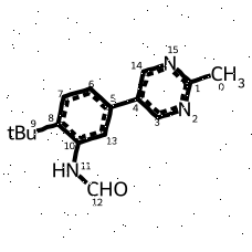 Cc1ncc(-c2ccc(C(C)(C)C)c(NC=O)c2)cn1